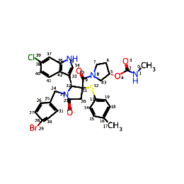 CNC(=O)O[C@H]1CCN(C(=O)[C@]2(Sc3ccc(C)cc3)CC(=O)N(Cc3ccc(Br)cc3)[C@H]2c2c[nH]c3cc(Cl)ccc23)C1